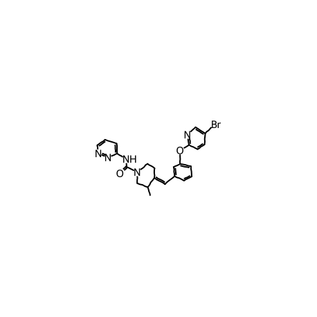 CC1CN(C(=O)Nc2cccnn2)CCC1=Cc1cccc(Oc2ccc(Br)cn2)c1